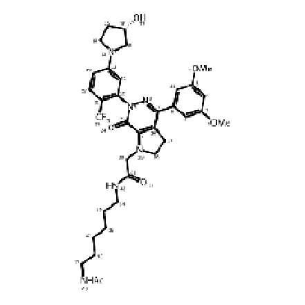 COc1cc(OC)cc(-c2nn(-c3cc(N4CC[C@H](O)C4)ccc3C(F)(F)F)c(=O)c3c2CCN3CC(=O)NCCCCCCNC(C)=O)c1